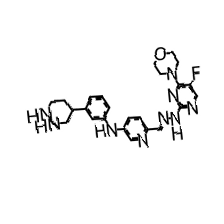 Fc1cnc(N/N=C/c2ccc(Nc3cccc(C4CCNNC4)c3)cn2)nc1N1CCOCC1